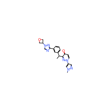 CC(c1cccc(-c2ncn(C3COC3)n2)c1)c1nn(-c2cnn(C)c2)ccc1=O